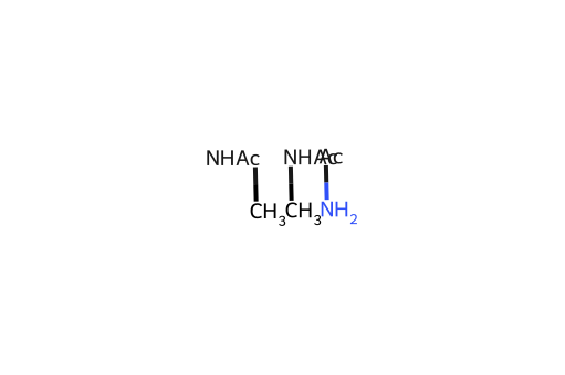 CC(N)=O.CNC(C)=O.CNC(C)=O